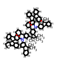 CC1(C)CC(C)(c2ccc(-c3ccccc3)c(N(c3ccc4c(c3)C(C)(C)c3ccccc3-4)c3ccc4c(c3)C3(c5ccccc5-c5ccccc53)c3ccccc3-4)c2)c2cc(-c3ccccc3)c(N(c3ccc4c(c3)C(C)(C)c3ccccc3-4)c3ccc4c(c3)C3(c5ccccc5-c5ccccc53)c3ccccc3-4)cc21